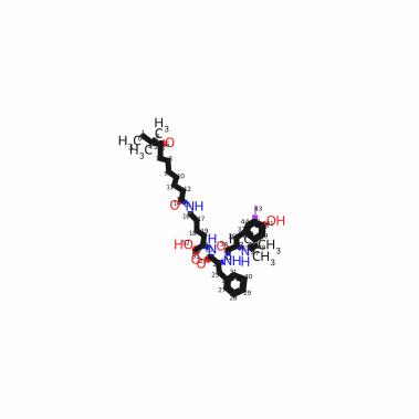 CCC(C)(C)C(=O)CCCCCCC(=O)NCCCCC(NC(=O)C(Cc1ccccc1)NC(=O)C(Cc1ccc(O)c(I)c1)NC(C)(C)C)C(=O)O